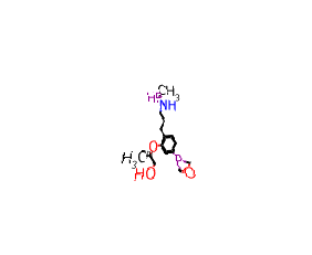 CPNCCCc1ccc(P2COC2)cc1O[C@H](C)CO